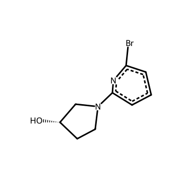 O[C@H]1CCN(c2cccc(Br)n2)C1